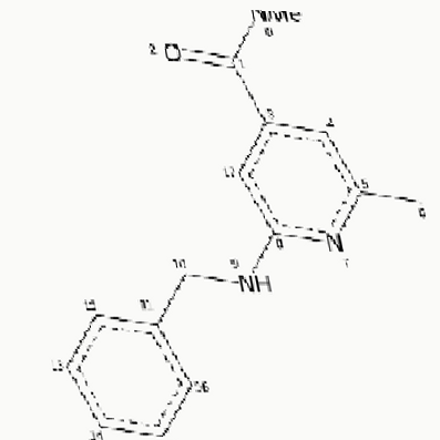 CNC(=O)c1cc(C)nc(NCc2ccccc2)c1